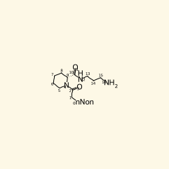 CCCCCCCCCCC(=O)N1CCCC[C@@H]1C(=O)NCCCN